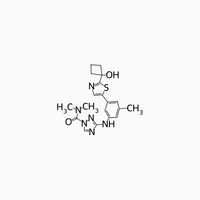 Cc1cc(Nc2ncn(C(=O)N(C)C)n2)cc(-c2cnc(C3(O)CCC3)s2)c1